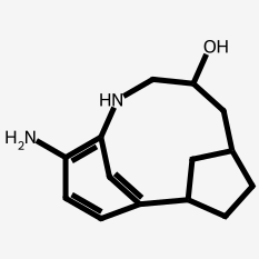 Nc1ccc2cc1NCC(O)CC1CCC2C1